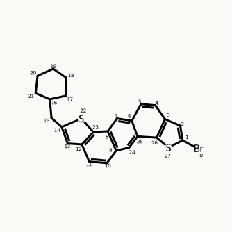 Brc1cc2ccc3cc4c(ccc5cc(CC6CCCCC6)sc54)cc3c2s1